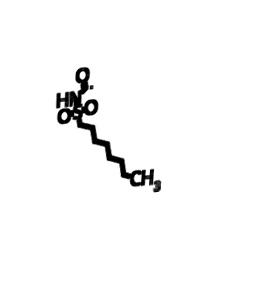 CCCCCCCCS(=O)(=O)N[C]=O